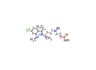 C=Nc1cc(Cl)ccc1/C(=C\C)NC(C)CCCN(CC)CCOC(=O)CCC